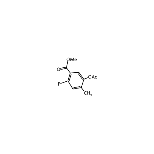 COC(=O)c1cc(OC(C)=O)c(C)cc1F